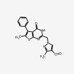 Cc1sc2nc(Cn3cc(C=O)c(C(F)(F)F)n3)[nH]c(=O)c2c1-c1ccccc1